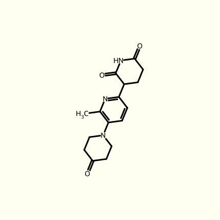 Cc1nc(C2CCC(=O)NC2=O)ccc1N1CCC(=O)CC1